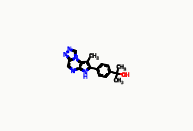 Cc1c(-c2ccc(C(C)(C)O)cc2)[nH]c2ncc3nncn3c12